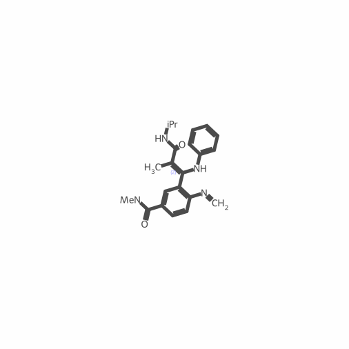 C=Nc1ccc(C(=O)NC)cc1/C(Nc1ccccc1)=C(\C)C(=O)NC(C)C